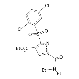 CCOC(=O)c1cn(C(=O)N(CC)CC)nc1S(=O)(=O)c1cc(Cl)ccc1Cl